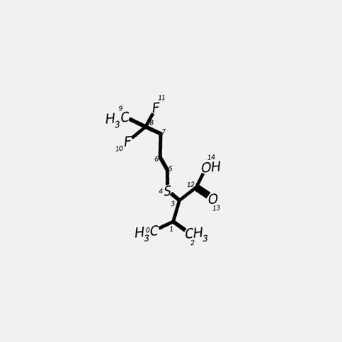 CC(C)C(SCCCC(C)(F)F)C(=O)O